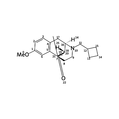 COc1ccc2c(c1)[C@]13CCN(CC4CCC4)[C@H](C2)[C@@H]1CCC(=O)C3